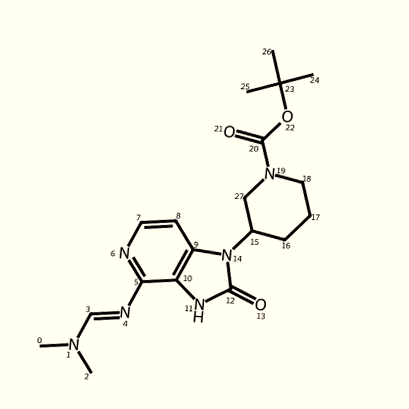 CN(C)C=Nc1nccc2c1[nH]c(=O)n2C1CCCN(C(=O)OC(C)(C)C)C1